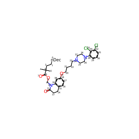 CCCCCCCCCCCCC(C)(C)C(=O)OCN1C(=O)CCc2ccc(OCCCCN3CCN(c4cccc(Cl)c4Cl)CC3)cc21